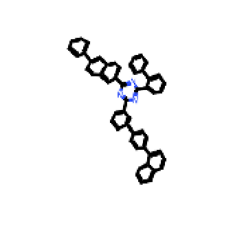 c1ccc(-c2ccc3cc(-c4nc(-c5cccc(-c6ccc(-c7cccc8ccccc78)cc6)c5)nc(-c5ccccc5-c5ccccc5)n4)ccc3c2)cc1